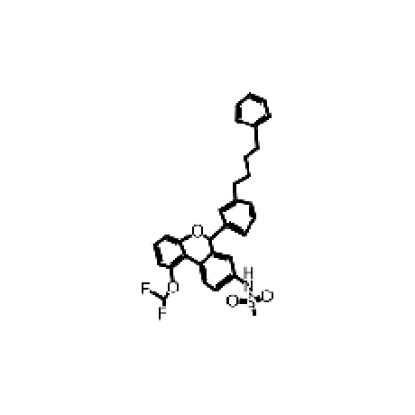 CS(=O)(=O)Nc1ccc2c(c1)C(c1cccc(CCCCc3ccccc3)c1)Oc1cccc(OC(F)F)c1-2